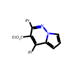 CCOC(=O)c1c(C(C)C)nn2cccc2c1C(C)C